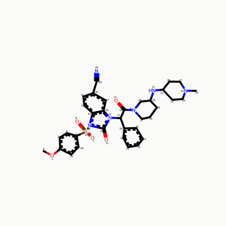 COc1ccc(S(=O)(=O)n2c(=O)n(C(C(=O)N3CCCC(NC4CCN(C)CC4)C3)c3ccccc3)c3cc(C#N)ccc32)cc1